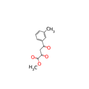 COC(=O)C(=O)CC(=O)c1cccc(C)c1